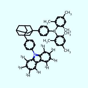 [2H]c1c([2H])c([2H])c2c(c1[2H])c1c([2H])c([2H])c([2H])c([2H])c1n2-c1ccc(C23CC4CC(CC(c5ccc(B(c6c(C)cc(C)cc6C)c6c(C)cc(C)cc6C)cc5)(C4)C2)C3)cc1